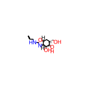 C=CCNC1=N[C@@H]2[C@@H](O)[C@H](O)[C@@H](CO)C[C@@H]2O1